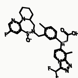 Cc1ccc([C@H](CC(=O)O)c2ccn3c(C(F)F)nnc3c2C)cc1CN1CC2CCCCN2c2ncc(F)cc2[S+]1[O-]